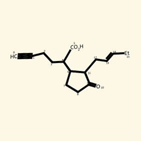 C#CCCC(C(=O)O)C1CCC(=O)C1C/C=C/CC